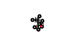 c1ccc(-c2nc(-c3ccccc3)nc(-c3cc(-n4c5ccccc5c5cccc(-c6ccccc6)c54)cc4oc5ccccc5c34)n2)cc1